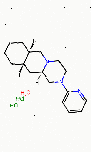 Cl.Cl.O.c1ccc(N2CCN3C[C@H]4CCCC[C@H]4C[C@@H]3C2)nc1